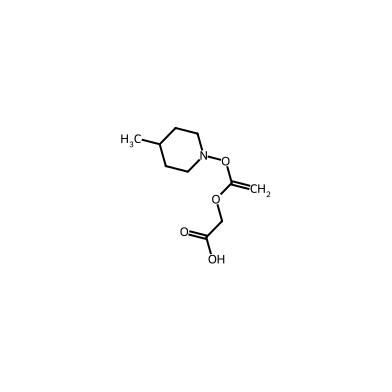 C=C(OCC(=O)O)ON1CCC(C)CC1